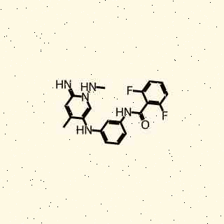 CNn1cc(Nc2cccc(NC(=O)c3c(F)cccc3F)c2)c(C)cc1=N